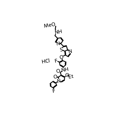 CCOc1ccn(-c2cccc(F)c2)c(=O)c1C(=O)Nc1ccc(Oc2ccnc3cc(-c4ccc(CNCCOC)cn4)sc23)c(F)c1.Cl